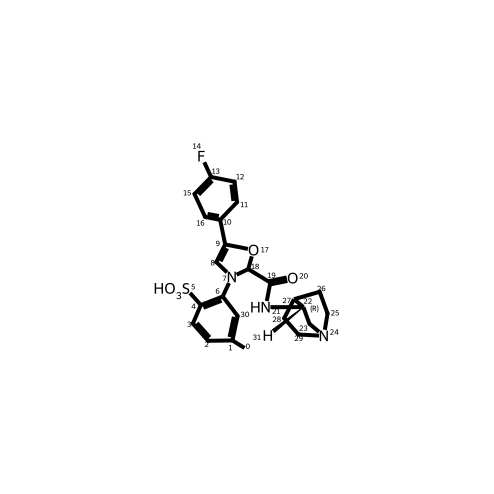 Cc1ccc(S(=O)(=O)O)c(N2C=C(c3ccc(F)cc3)OC2C(=O)N[C@H]2CN3CCC2CC3)c1